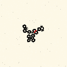 CC1(C)CCC(C)(C)c2cc(-c3ccc(-c4cc5c(cc4N(c4ccccc4)c4ccc(-c6cccc7c6oc6ccccc67)cc4)C(c4ccccc4)(c4ccccc4)c4ccccc4-5)cc3)ccc21